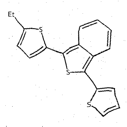 CCc1ccc(-c2sc(-c3cccs3)c3ccccc23)s1